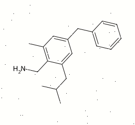 Cc1cc(Cc2ccccc2)cc(CC(C)C)c1CN